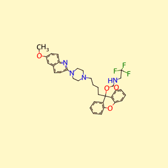 COc1ccc2nc(N3CCN(CCCCC4(OC(=O)NCC(F)(F)F)c5ccccc5Oc5ccccc54)CC3)ccc2c1